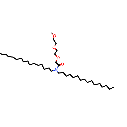 CCCCCCCCCCCCCCCCN(CCCCCCCCCCCCCCCC)C(=O)COCCOCCOC